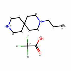 CC(C)(C)CCN1CCC2(CCNCC2)CC1.O=C(O)C(F)(F)F